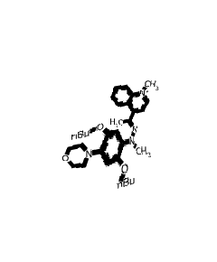 CCCCOc1cc(N(C)/N=C(\C)c2cc[n+](C)c3ccccc23)c(OCCCC)cc1N1CCOCC1